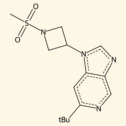 CC(C)(C)c1cc2c(cn1)ncn2C1CN(S(C)(=O)=O)C1